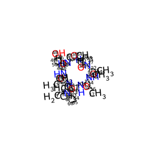 C=CC(C)(C)n1cc(C[C@@H]2NC(=O)[C@H](CCCC)NC(=O)[C@H](CC(C)C)N3CCC[C@@H](C3=O)N(C)C(=O)[C@H](C)NC(=O)[C@H](Cc3ccc(O)cc3)NC(=O)[C@H](CC(C)C)N(C)C2=O)c2ccccc21